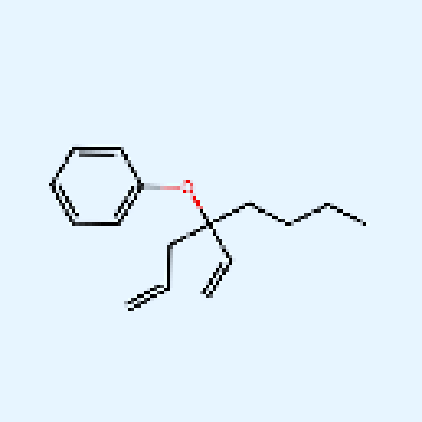 C=CCC(C=C)(CCCC)Oc1ccccc1